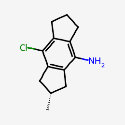 C[C@H]1Cc2c(N)c3c(c(Cl)c2C1)CCC3